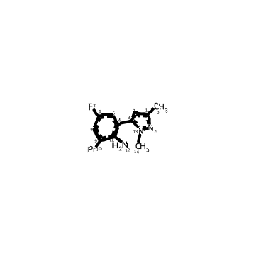 Cc1cc(-c2cc(F)cc(C(C)C)c2N)n(C)n1